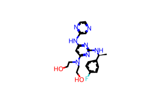 C[C@H](Nc1nc(Nc2cnccn2)cc(N(CCO)CCO)n1)c1ccc(F)cc1